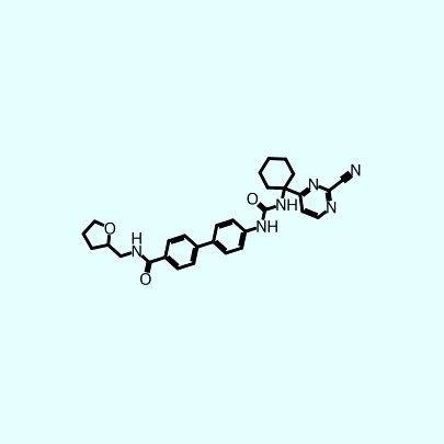 N#Cc1nccc(C2(NC(=O)Nc3ccc(-c4ccc(C(=O)NCC5CCCO5)cc4)cc3)CCCCC2)n1